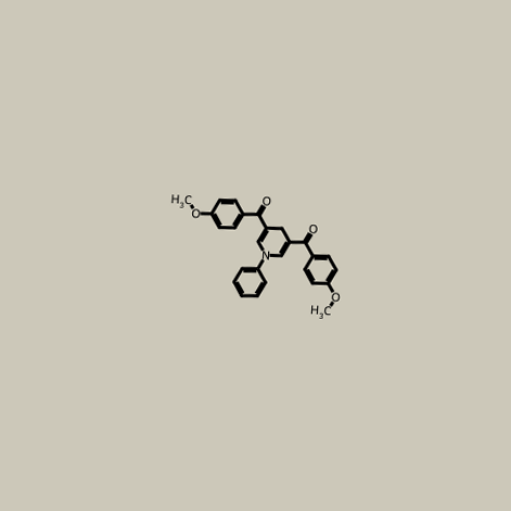 COc1ccc(C(=O)C2=CN(c3ccccc3)C=C(C(=O)c3ccc(OC)cc3)C2)cc1